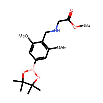 COc1cc(B2OC(C)(C)C(C)(C)O2)cc(OC)c1CNCC(=O)OC(C)(C)C